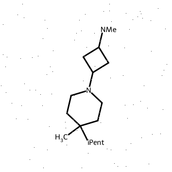 CCCC(C)C1(C)CCN(C2CC(NC)C2)CC1